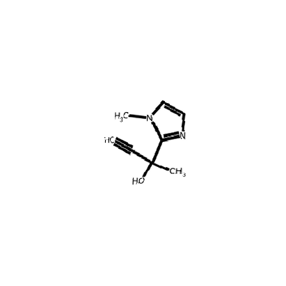 C#CC(C)(O)c1nccn1C